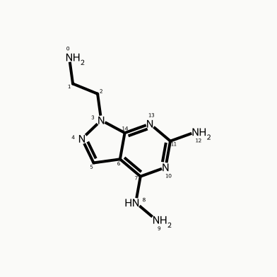 NCCn1ncc2c(NN)nc(N)nc21